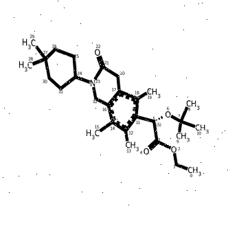 CCOC(=O)[C@@H](OC(C)(C)C)c1c(C)c(C)c2c(c1C)CC(=O)N(C1CCC(C)(C)CC1)C2